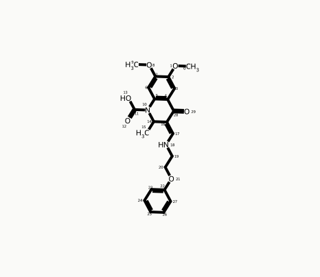 COc1cc2c(cc1OC)N(C(=O)O)C(C)C(=CNCCOc1ccccc1)C2=O